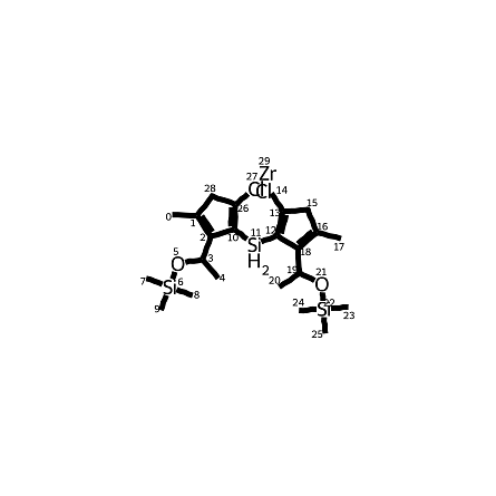 CC1=C(C(C)O[Si](C)(C)C)C([SiH2]C2=C(Cl)CC(C)=C2C(C)O[Si](C)(C)C)=C(Cl)C1.[Zr]